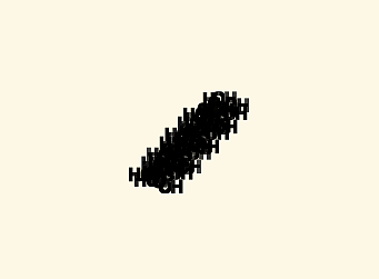 O=C(O)C1=C[C@H](O)[C@@H](O)[C@H](O[C@H]2[C@H](O)[C@@H](NS(=O)(=O)O)[C@@H](O[C@@H]3C(C(=O)O)OC(O[C@H]4[C@H](O)[C@@H](NS(=O)(=O)O)[C@@H](O[C@@H]5C(C(=O)O)OC(O[C@H]6[C@H](O)[C@@H](NS(=O)(=O)O)[C@@H](O[C@@H]7C(C(=O)O)OC(O[C@H]8[C@H](O)[C@@H](NS(=O)(=O)O)[C@@H](O)O[C@@H]8CO)[C@H](O)[C@H]7O)O[C@@H]6CO)[C@H](O)[C@H]5O)O[C@@H]4CO)[C@H](O)[C@H]3O)O[C@@H]2CO)O1